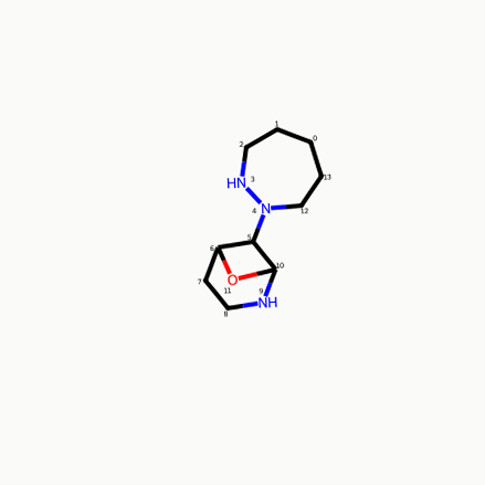 C1CCNN(C2C3CCNC2O3)CC1